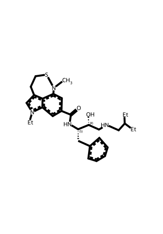 CCC(CC)CNC[C@@H](O)[C@H](Cc1ccccc1)NC(=O)c1cc2c3c(cn(CC)c3c1)CCSN2C